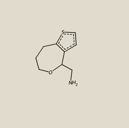 NCC1OCCCc2sccc21